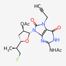 C#CCn1c(=O)n([C@@H]2O[C@H]([C@H](C)CF)C[C@H]2OC(C)=O)c2nc(NC(C)=O)[nH]c(=O)c21